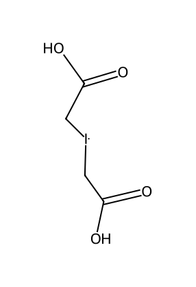 O=C(O)C[I]CC(=O)O